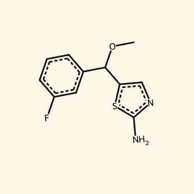 COC(c1cccc(F)c1)c1cnc(N)s1